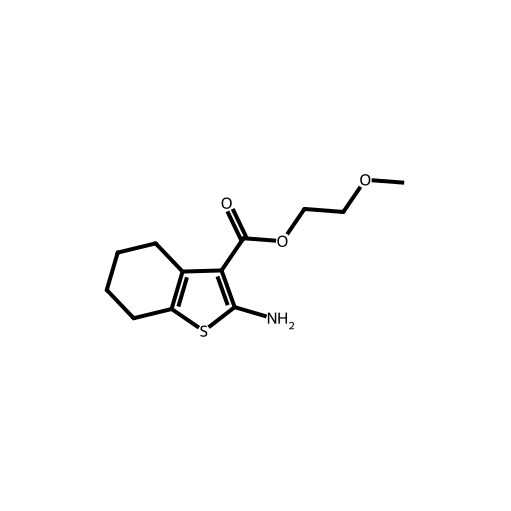 COCCOC(=O)c1c(N)sc2c1CCCC2